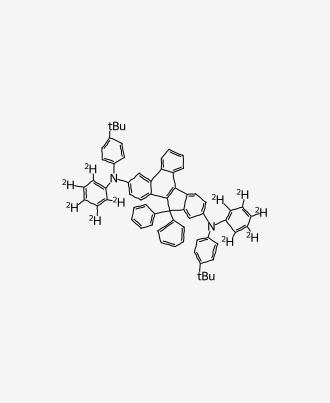 [2H]c1c([2H])c([2H])c(N(c2ccc(C(C)(C)C)cc2)c2ccc3c(c2)C(c2ccccc2)(c2ccccc2)c2c-3c3ccccc3c3cc(N(c4ccc(C(C)(C)C)cc4)c4c([2H])c([2H])c([2H])c([2H])c4[2H])ccc23)c([2H])c1[2H]